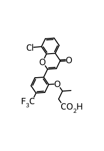 CC(CC(=O)O)Oc1cc(C(F)(F)F)ccc1-c1cc(=O)c2cccc(Cl)c2o1